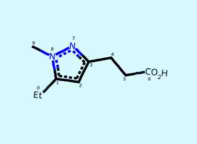 CCc1cc(CCC(=O)O)nn1C